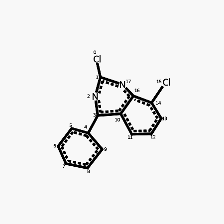 Clc1nc(-c2ccccc2)c2cccc(Cl)c2n1